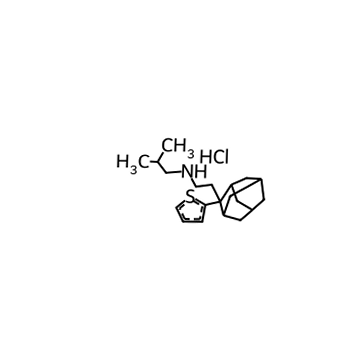 CC(C)CNCCC1(c2cccs2)C2CC3CC(C2)CC1C3.Cl